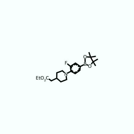 CCOC(=O)CC1CCN(c2ccc(B3OC(C)(C)C(C)(C)O3)cc2F)CC1